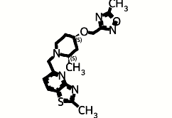 Cc1nc(CO[C@H]2CCN(Cc3ccc4sc(C)nc4n3)[C@@H](C)C2)no1